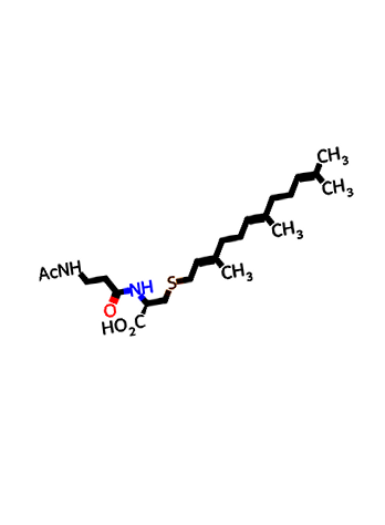 CC(=O)NCCC(=O)N[C@@H](CSC/C=C(\C)CC/C=C(\C)CCC=C(C)C)C(=O)O